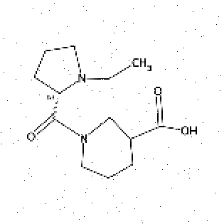 CCN1CCC[C@H]1C(=O)N1CCCC(C(=O)O)C1